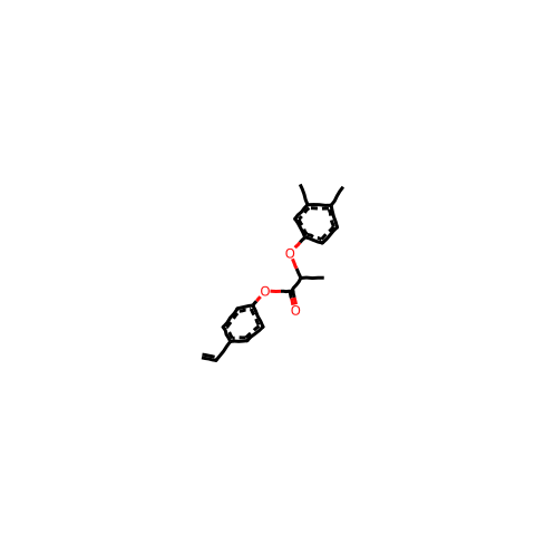 C=Cc1ccc(OC(=O)C(C)Oc2ccc(C)c(C)c2)cc1